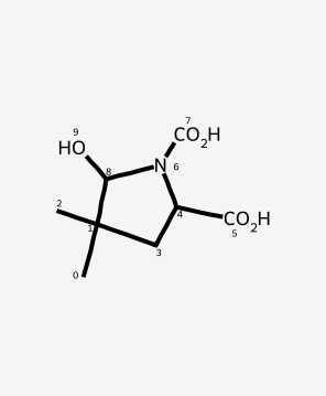 CC1(C)CC(C(=O)O)N(C(=O)O)C1O